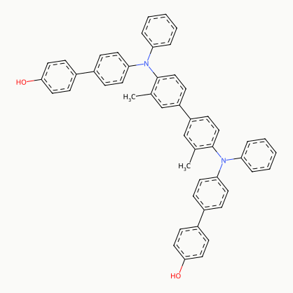 Cc1cc(-c2ccc(N(c3ccccc3)c3ccc(-c4ccc(O)cc4)cc3)c(C)c2)ccc1N(c1ccccc1)c1ccc(-c2ccc(O)cc2)cc1